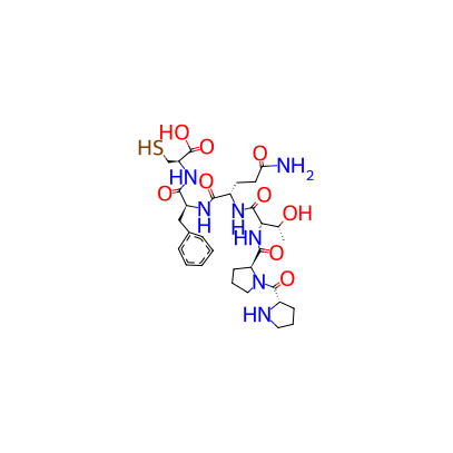 C[C@@H](O)[C@H](NC(=O)[C@@H]1CCCN1C(=O)[C@@H]1CCCN1)C(=O)N[C@@H](CCC(N)=O)C(=O)N[C@@H](Cc1ccccc1)C(=O)N[C@@H](CS)C(=O)O